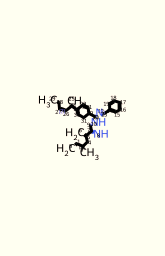 C=C[C@H](C)CC(=C)C(=N)CN[C@@H](/N=C/c1ccccc1)C1C=CC(C(=C)/C=C\CC)=CC1